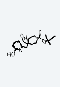 CC(C)(C)OC(=O)N1CCC(CO)(Cc2cccc(O)n2)CC1